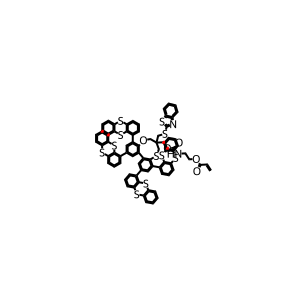 C=CC(=O)OCCNC(=O)OCC1(CSc2nc3ccccc3s2)COc2c(-c3cccc4c3Sc3ccccc3S4)cc(-c3cccc4c3Sc3ccccc3S4)cc2-c2cc(-c3cccc4c3Sc3ccccc3S4)cc(-c3cccc4c3Sc3ccccc3S4)c2SC1